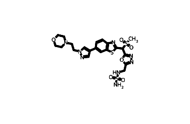 CS(=O)(=O)C(c1nnc(CNS(N)(=O)=O)o1)c1nc2ccc(-c3cnn(CCN4CCOCC4)c3)cc2s1